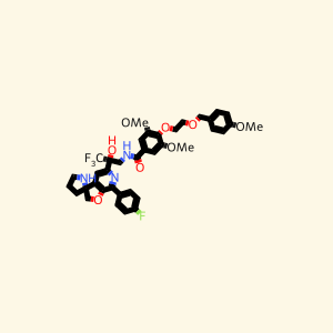 COc1ccc(COCCOc2c(OC)cc(C(=O)NCC(O)(c3cc4c(c(-c5ccc(F)cc5)n3)OCC43CCCN3)C(F)(F)F)cc2OC)cc1